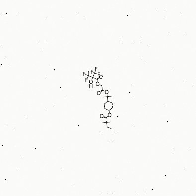 CCC(C)(C)C(=O)OC1CCC(C(C)(C)OC(=O)COC(=O)C(O)(C(F)(F)F)C(F)(F)F)CC1